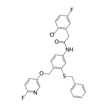 O=C(Cc1cc(F)ccc1Cl)Nc1ccc(COc2ccc(F)nc2)c(SCc2ccccc2)c1